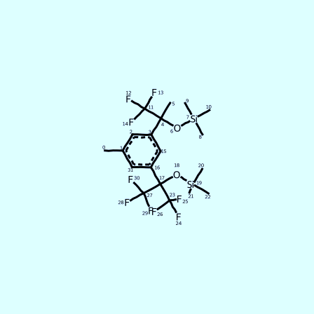 Cc1cc(C(C)(O[Si](C)(C)C)C(F)(F)F)cc(C(O[Si](C)(C)C)(C(F)(F)F)C(F)(F)F)c1